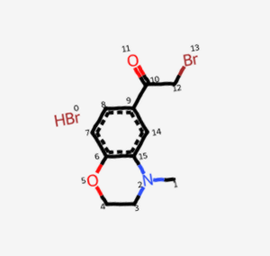 Br.CN1CCOc2ccc(C(=O)CBr)cc21